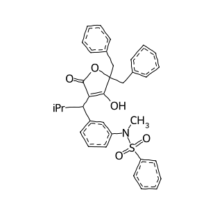 CC(C)C(C1=C(O)C(Cc2ccccc2)(Cc2ccccc2)OC1=O)c1cccc(N(C)S(=O)(=O)c2ccccc2)c1